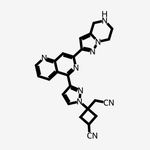 N#CCC1(n2ccc(-c3nc(-c4cc5n(n4)CCNC5)cc4ncccc34)n2)CC(C#N)C1